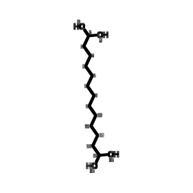 OC(O)CCCCCCCCCCCC(O)O